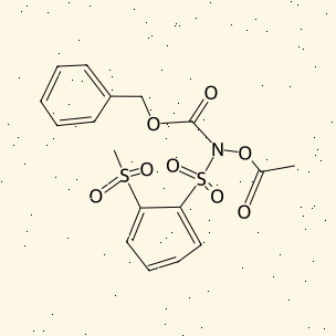 CC(=O)ON(C(=O)OCc1ccccc1)S(=O)(=O)c1ccccc1S(C)(=O)=O